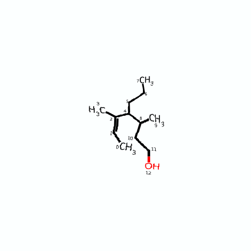 CC=C(C)C(CCC)C(C)CCO